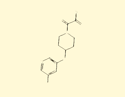 NC(=O)C(=O)N1CCC(Oc2cncc(C(F)(F)F)c2)CC1